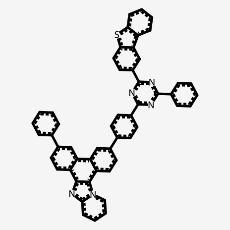 c1ccc(-c2ccc3c(c2)c2cc(-c4ccc(-c5nc(-c6ccccc6)nc(-c6ccc7sc8ccccc8c7c6)n5)cc4)ccc2c2c3nc3ccccn32)cc1